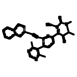 Cc1ncnc(C)c1-c1ccc(NC(=O)C(C)N(C)C(=O)OC(C)(C)C)nc1C#Cc1ccc2ccccc2c1